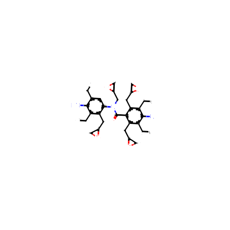 CCc1cc(N(CC2CO2)C(=O)c2c(CC3CO3)c(CC)c(N)c(CC)c2CC2CO2)c(CC2CO2)c(CC)c1N